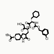 CC(C)(C)C(=O)N1CCC2(CC1)CC(C[C@H](NC(=O)[C@H](CC1CCCCC1)NC(=O)OCc1cccc(Cl)c1)C(=O)CO)C(=O)N2